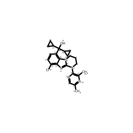 Cc1cnc(N2CCCn3c2nc2c(Cl)ccc(C(O)(C4CC4)C4CC4)c23)c(C)n1